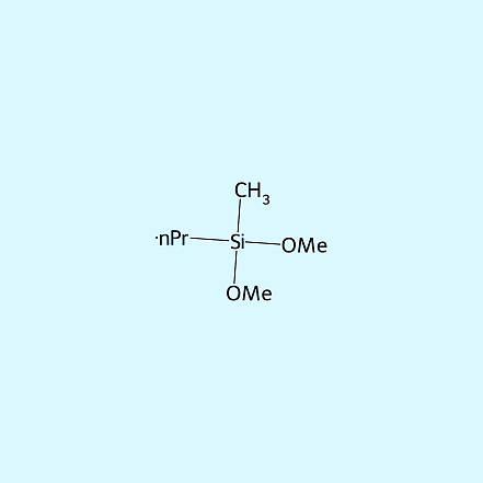 CC[CH][Si](C)(OC)OC